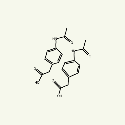 CC(=O)Nc1ccc(CC(=O)O)cc1.CC(=O)Nc1ccc(CC(=O)O)cc1